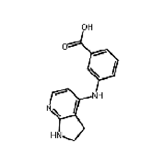 O=C(O)c1cccc(Nc2ccnc3c2CCN3)c1